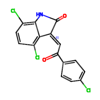 O=C1Nc2c(Cl)ccc(Cl)c2/C1=C\C(=O)c1ccc(Cl)cc1